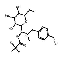 CSC1OC([C@H](NC(=O)C(F)(F)F)[C@H](C)Sc2ccc(CO)cc2)C(O)C(O)C1O